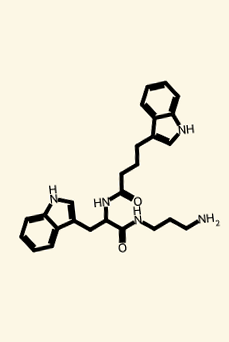 NCCCNC(=O)C(Cc1c[nH]c2ccccc12)NC(=O)CCCc1c[nH]c2ccccc12